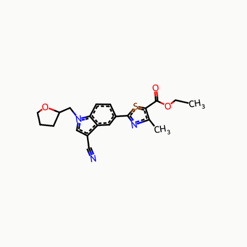 CCOC(=O)c1sc(-c2ccc3c(c2)c(C#N)cn3CC2CCCO2)nc1C